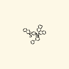 c1ccc(-c2cccc(N(c3ccc4c(c3)sc3cc5ccccc5cc34)c3cc4ccccc4c4c3ccc3ccccc34)c2)cc1